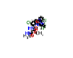 COC(=O)C(CCS(C)(=N)=O)NC(=O)c1cc(Cl)cc(C)c1NC(=O)c1cc(C(F)(F)F)nn1-c1ncccc1Cl